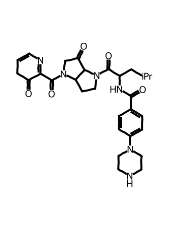 CC(C)CC(NC(=O)c1ccc(N2CCNCC2)cc1)C(=O)N1CCC2C1C(=O)CN2C(=O)C1=NC=CCC1=O